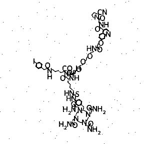 N#C[C@H]1CCCN1C(=O)CNC(=O)c1ccnc2cc(OCC(=O)NCCOCCOCCOCCC(=O)N[C@@H](CCCCNC(=S)Nc3ccc(CC4CN(CC(N)=O)CCN(CC(N)=O)CCN(CC(N)=O)CCN4CC(N)=O)cc3)C(=O)N[C@@H](CCCCNC(=O)Cc3ccc(I)cc3)C(=O)O)ccc12